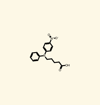 O=C(O)CCCCN(c1ccccc1)c1ccc([N+](=O)[O-])cc1